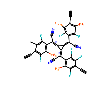 C#Cc1c(C)c(F)c(/C(C#N)=C2/C(=C(C#N)c3c(F)c(P)c(C#C)c(P)c3F)/C2=C(/C#N)c2c(F)c(F)c(C#C)c(F)c2P)c(P)c1F